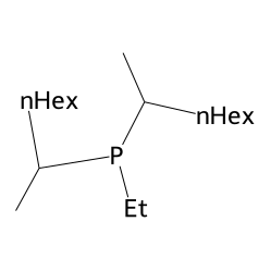 CCCCCCC(C)P(CC)C(C)CCCCCC